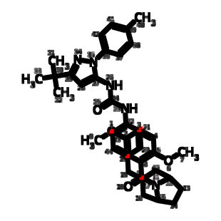 COc1ccc(OC)c(C(=O)N2C3CCC2CC(Cc2ccc(NC(=O)Nc4cc(C(C)(C)C)nn4-c4ccc(C)cc4)cc2)C3)c1